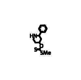 CSC(=S)OC1CCNC(c2ccccc2)C1